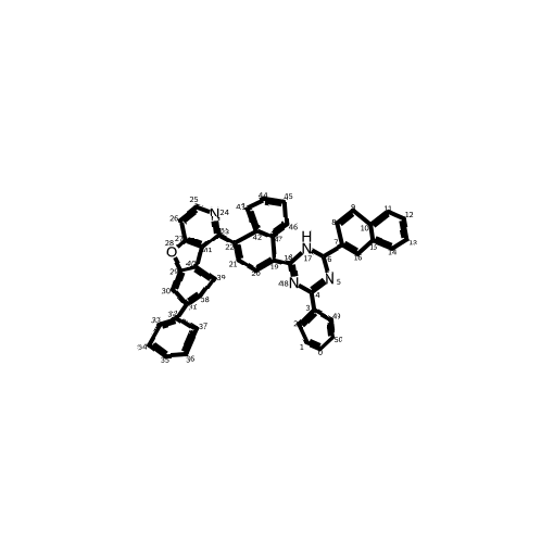 c1ccc(C2=NC(c3ccc4ccccc4c3)NC(c3ccc(-c4nccc5oc6cc(-c7ccccc7)ccc6c45)c4ccccc34)=N2)cc1